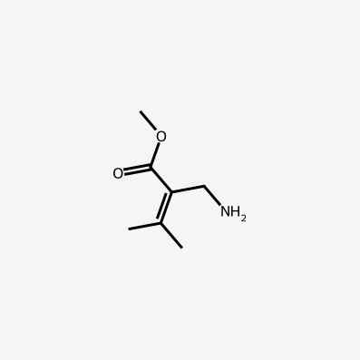 COC(=O)C(CN)=C(C)C